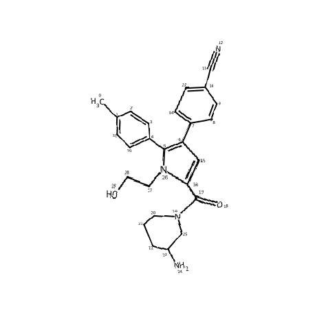 Cc1ccc(-c2c(-c3ccc(C#N)cc3)cc(C(=O)N3CCCC(N)C3)n2CCO)cc1